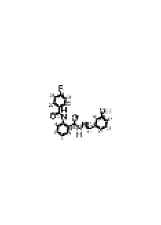 O=C(Nc1ccccc1C(=O)NN=Cc1cccc(O)c1)c1ccc(F)cc1